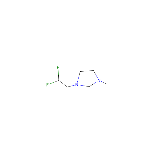 CN1CCN(CC(F)F)C1